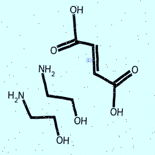 NCCO.NCCO.O=C(O)/C=C/C(=O)O